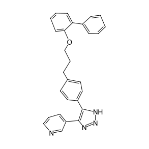 c1ccc(-c2ccccc2OCCCc2ccc(-c3[nH]nnc3-c3cccnc3)cc2)cc1